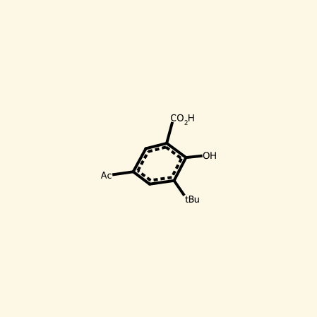 CC(=O)c1cc(C(=O)O)c(O)c(C(C)(C)C)c1